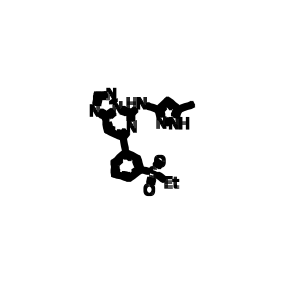 CCS(=O)(=O)c1cccc(-c2cc3ncnn3c(Nc3cc(C)[nH]n3)n2)c1